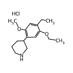 CCOc1cc(C2CCCNC2)c(OC)cc1CC.Cl